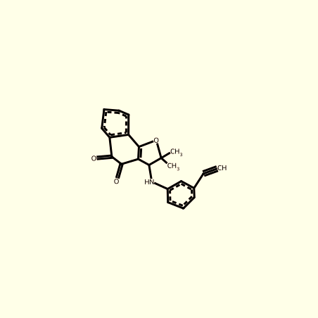 C#Cc1cccc(NC2C3=C(OC2(C)C)c2ccccc2C(=O)C3=O)c1